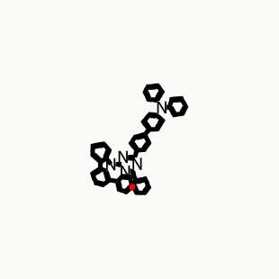 c1ccc(-c2nc(-c3ccc(-c4ccc(N(c5ccccc5)c5ccccc5)cc4)cc3)nc(-n3c4ccccc4c4cccc(-c5ccccc5)c43)n2)cc1